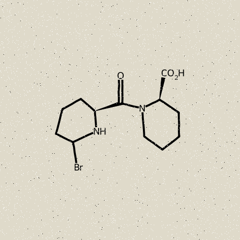 O=C(O)[C@H]1CCCCN1C(=O)[C@@H]1CCCC(Br)N1